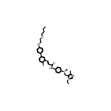 CCCCOCCOc1ccc(-c2ccc(F)c(/C=C/C(=O)Nc3ccc([S+]([O-])Cc4c(C)ncn4CC)cc3)c2)cc1